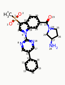 CS(=O)(=O)c1cn(-c2ncc(-c3ccccc3)cn2)c2cc(C(=O)N3CC[C@@H](N)C3)ccc12